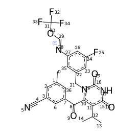 Cc1cc(C#N)cc(C(=O)c2c(C(C)C)c(=O)[nH]c(=O)n2Cc2cc(F)cc(/N=C/OC(F)(F)F)c2)c1